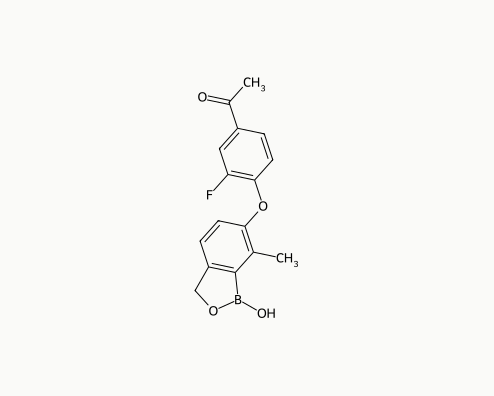 CC(=O)c1ccc(Oc2ccc3c(c2C)B(O)OC3)c(F)c1